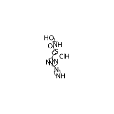 CC(C)(CO)NC(=O)c1cc(-c2cnn3cc(N4CCNCC4)cnc23)cs1.Cl